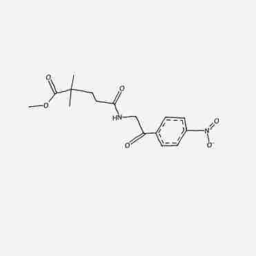 COC(=O)C(C)(C)CCC(=O)NCC(=O)c1ccc([N+](=O)[O-])cc1